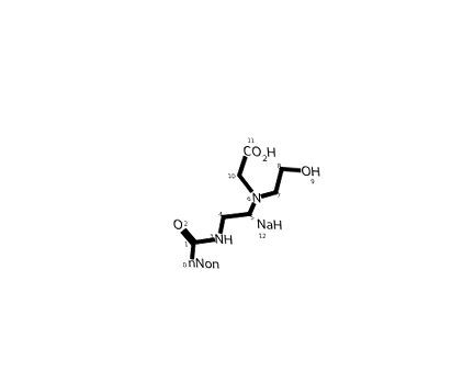 CCCCCCCCCC(=O)NCCN(CCO)CC(=O)O.[NaH]